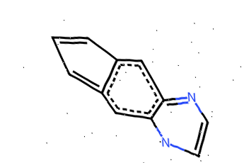 C1=Cc2cc3c(cc2=C1)[N]C=CN=3